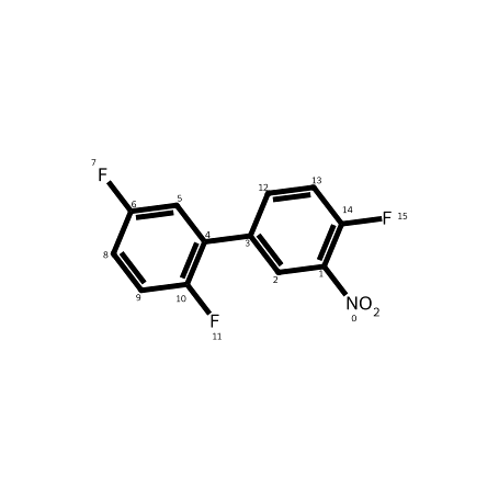 O=[N+]([O-])c1cc(-c2cc(F)ccc2F)ccc1F